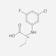 CC[C@@H](Nc1cc(F)cc(Cl)c1)C(=O)O